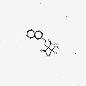 CC(C)(C)C(CCc1ccc2ccccc2c1)(C(=O)O)C(=O)O